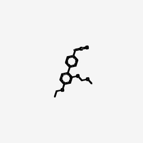 CCOc1ccc(-c2ccc([C]=C=O)cc2)c(OCOC)c1